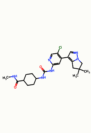 CNC(=O)C1CCC(NC(=O)Nc2cc(-c3cnn4c3CC(C)(C)C4)c(Cl)cn2)CC1